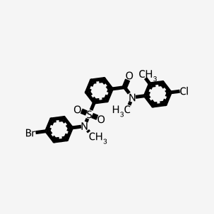 Cc1cc(Cl)ccc1N(C)C(=O)c1cccc(S(=O)(=O)N(C)c2ccc(Br)cc2)c1